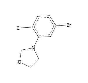 Clc1ccc(Br)cc1N1CCOC1